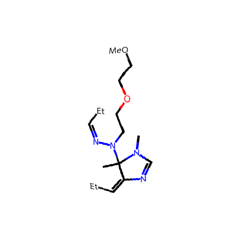 CC/C=N\N(CCOCCOC)C1(C)/C(=C\CC)N=CN1C